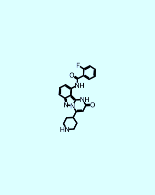 O=C(Nc1cccc2nn3c(C4CCNCC4)cc(=O)[nH]c3c12)c1ccccc1F